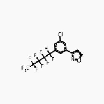 FC(F)(F)C(F)(F)C(F)(F)C(F)(F)C(F)(F)c1cc(Cl)cc(-c2ccon2)c1